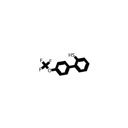 FC(F)(F)Oc1ccc(-c2ccccc2S)cc1